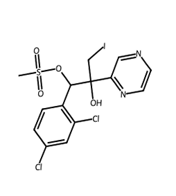 CS(=O)(=O)OC(c1ccc(Cl)cc1Cl)C(O)(CI)c1cnccn1